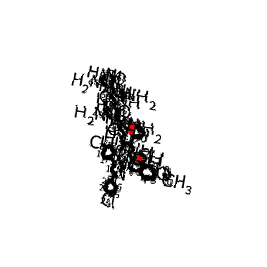 COc1ccc(CN(c2nc(-c3ccc(Cl)cc3)cc(-c3ccc(Cl)cc3)n2)C(O)C(=O)NC(C(=O)NC(NC(=N)N)C(=O)NC(NC(=N)N)C(=O)NC(NC(=N)N)C(=O)NC(NC(=N)N)C(N)=O)c2ccccc2)c(OC)c1